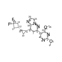 COc1ncc(-c2cc(C3C[C@@H]3C3CC(F)(F)C3)c3nccn3n2)c(OC)n1